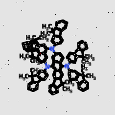 CC1(C)c2ccccc2-c2ccc(N(c3ccc4c(c3)C(C)(C)c3ccccc3-4)c3ccc4c(N(c5ccc6c(c5)C(C)(C)c5ccccc5-6)c5ccc6c(c5)C(C)(C)c5ccccc5-6)c5cc6c(cc5c(N(c5ccc7c(c5)C(C)(C)c5ccccc5-7)c5ccc7c(c5)C(C)(C)c5ccccc5-7)c4c3)-c3ccccc3C6(C)C)cc21